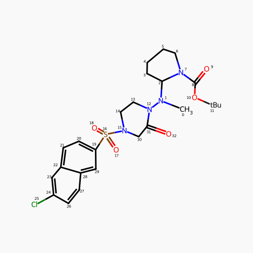 CN(C1CCCCN1C(=O)OC(C)(C)C)N1CCN(S(=O)(=O)c2ccc3cc(Cl)ccc3c2)CC1=O